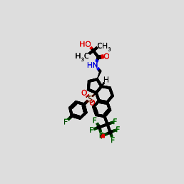 CC(C)(O)C(=O)NC[C@@H]1CC[C@@]2(S(=O)(=O)c3ccc(F)cc3)c3ccc(C(F)(C(F)(F)F)C(F)(F)F)cc3CC[C@@H]12